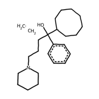 OC(CCCN1CCCCC1)([C]1CCCCCCC1)c1ccccc1.[CH2].[CH2]